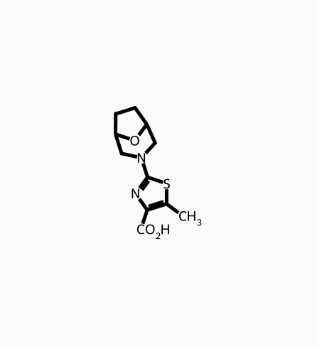 Cc1sc(N2CC3CCC(C2)O3)nc1C(=O)O